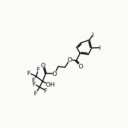 O=C(OCCOC(=O)C(O)(C(F)(F)F)C(F)(F)F)c1ccc(I)c(I)c1